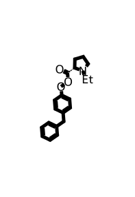 CCN1CCC[C@H]1C(=O)OOc1ccc(Cc2ccccc2)cc1